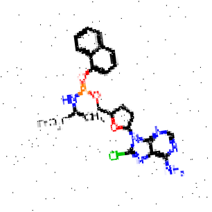 CCOC(=O)C(C)NP(OCC1CCC(n2c(Cl)nc3c(N)ncnc32)O1)Oc1cccc2ccccc12